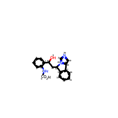 O=C(O)Nc1ccccc1C(O)CC1c2ccccc2-c2cncn21